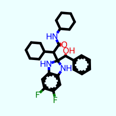 O=C(NC1CCCCC1)C(C1CCCCC1)C1(C(O)c2ccccc2)Nc2cc(F)c(F)cc2N1